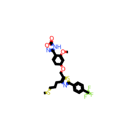 COC1=CC(OCc2sc(-c3ccc(C(F)(F)F)cc3)nc2CCCSC)CC=C1c1noc(=O)[nH]1